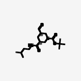 CC(C)CCNC(=O)[C@H]1C[C@@H](C=O)CN(C(=O)OC(C)(C)C)C1